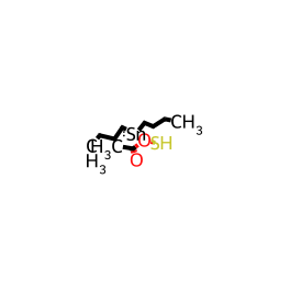 CC(=O)OS.CCC[CH2][Sn][CH2]CCC